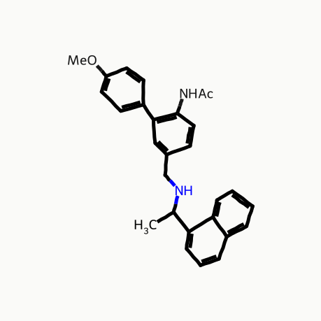 COc1ccc(-c2cc(CNC(C)c3cccc4ccccc34)ccc2NC(C)=O)cc1